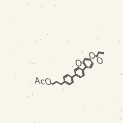 C=CC(=O)Oc1ccc2c(c1)oc1cc(-c3ccc(CCCOC(C)=O)cc3)ccc12